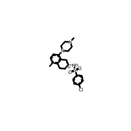 Cc1ccc(N2CCN(C)CC2)c2c1CC[C@@H](NS(=O)(=O)c1ccc(Cl)cc1)C2